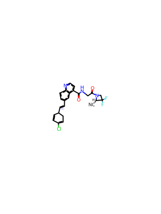 N#C[C@H]1N(C(=O)CNC(=O)c2ccnc3ccc(/C=C/C4C=CC(Cl)=CC4)cc23)CC1(F)F